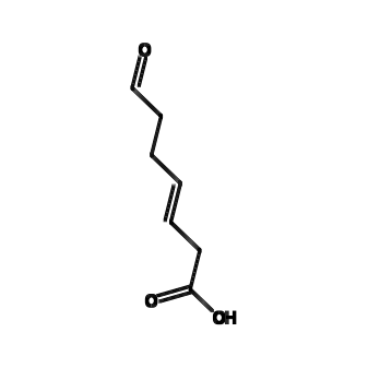 O=CCCC=CCC(=O)O